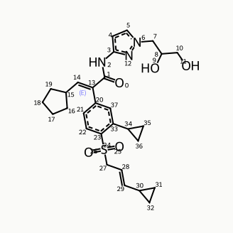 O=C(Nc1ccn(CC(O)CO)n1)/C(=C/C1CCCC1)c1ccc(S(=O)(=O)CC=CC2CC2)c(C2CC2)c1